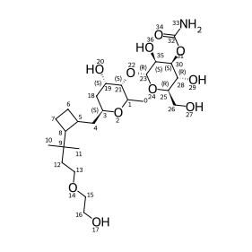 CC1O[C@@H](CC2CCC2C(C)(C)CCOCCO)C[C@H](O)[C@@H]1O[C@H]1O[C@H](CO)[C@@H](O)[C@H](OC(N)=O)[C@@H]1O